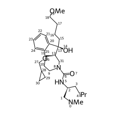 CNC[C@H](CC(C)C)NC(=O)N1CCC[C@@H]([C@@](O)(CCCCOC)c2ccccc2OCC2CC2)C1